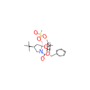 C[SiH](C)O[C@]1(COS(C)(=O)=O)C[C@H](C(C)(C)C)CN1C(=O)OCc1ccccc1